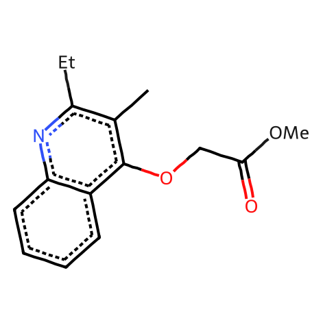 CCc1nc2ccccc2c(OCC(=O)OC)c1C